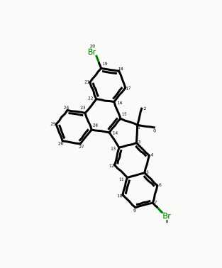 CC1(C)c2cc3cc(Br)ccc3cc2-c2c1c1ccc(Br)cc1c1ccccc21